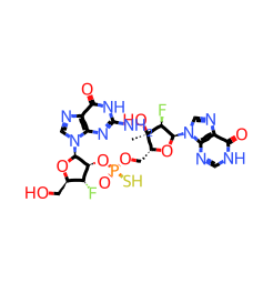 C[C@@]1(O)[C@@H](COP(=O)(S)O[C@@H]2[C@H](F)[C@@H](CO)O[C@H]2n2cnc3c(=O)[nH]c(N)nc32)O[C@H](n2cnc3c(=O)[nH]cnc32)[C@@H]1F